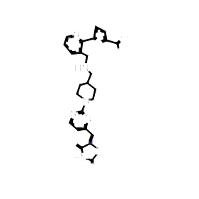 CC(=O)c1ccc(-c2ncccc2CNCC2CCN(c3nccc(/C=C4/SC(=O)NC4=O)n3)CC2)s1